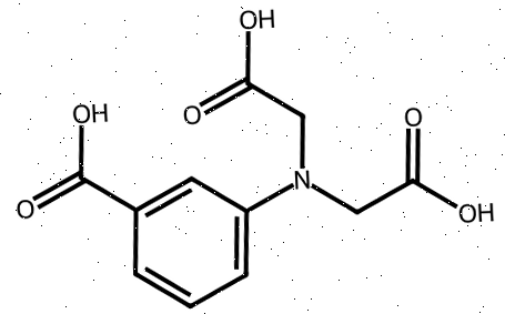 O=C(O)CN(CC(=O)O)c1cccc(C(=O)O)c1